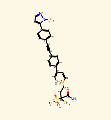 Cn1nccc1-c1ccc(C#Cc2ccc(C(/C=C\PCCC(C)(C(N)=O)S(C)(=O)=O)=C/C=O)cc2)cc1